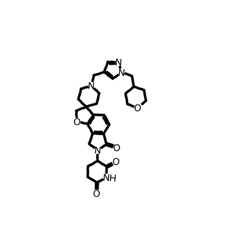 O=C1CCC(N2Cc3c(ccc4c3OCC43CCN(Cc4cnn(CC5CCOCC5)c4)CC3)C2=O)C(=O)N1